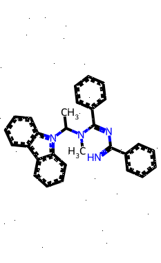 CC(N(C)/C(=N\C(=N)c1ccccc1)c1ccccc1)n1c2ccccc2c2ccccc21